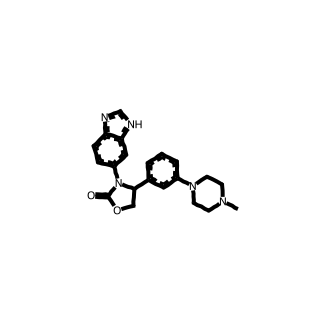 CN1CCN(c2cccc(C3COC(=O)N3c3ccc4nc[nH]c4c3)c2)CC1